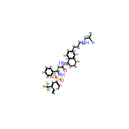 C=CC(=CC(=CC)S(=O)(=O)N[C@H](CC(=O)N[C@@H]1CCCc2cc(CCCNCC(C)C)ccc21)c1ccccc1)C(F)(F)F